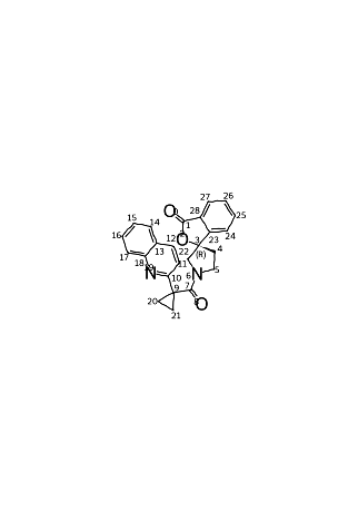 O=C1O[C@]2(CCN(C(=O)C3(c4ccc5ccccc5n4)CC3)C2)c2ccccc21